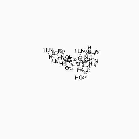 Nc1nc2c(ncn2[C@@H]2O[C@H](CO)[C@@H](F)[C@H]2P(=O)(S)OC[C@]23CO[C@H](C2O)[C@H](n2cnc4c(N)ncnc42)O3)c(=O)[nH]1